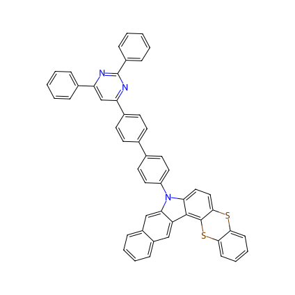 c1ccc(-c2cc(-c3ccc(-c4ccc(-n5c6cc7ccccc7cc6c6c7c(ccc65)Sc5ccccc5S7)cc4)cc3)nc(-c3ccccc3)n2)cc1